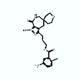 CCn1nc(CCCOC(=O)c2cc(C(F)(F)F)ccc2C)c2c1C(=O)NCC1(CCOCC1)C2